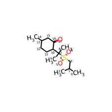 CC(C)CS(=O)(=O)C(C)(C)C1CCC(C)CC1=O